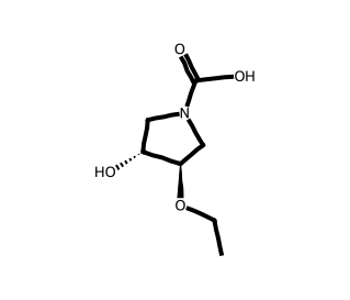 CCO[C@@H]1CN(C(=O)O)C[C@H]1O